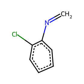 C=Nc1ccccc1Cl